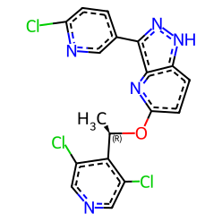 C[C@@H](Oc1ccc2[nH]nc(-c3ccc(Cl)nc3)c2n1)c1c(Cl)cncc1Cl